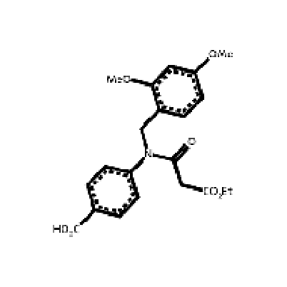 CCOC(=O)CC(=O)N(Cc1ccc(OC)cc1OC)c1ccc(C(=O)O)cc1